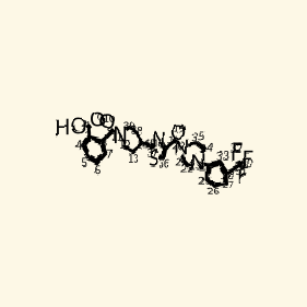 O=C(O)c1ccccc1C(=O)N1CCC(c2nc(C(=O)N3CCN(c4cccc(C(F)(F)F)c4)CC3)cs2)CC1